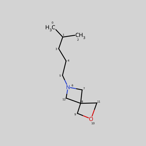 CC(C)CCCN1CC2(COC2)C1